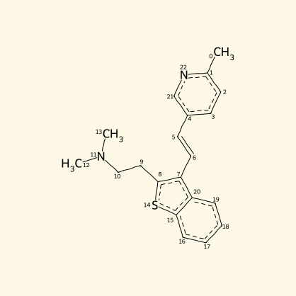 Cc1ccc(C=Cc2c(CCN(C)C)sc3ccccc23)cn1